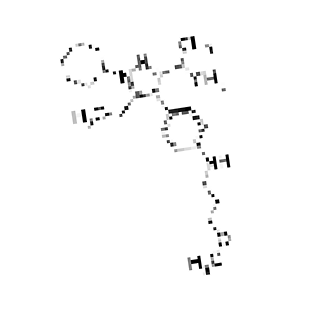 CCc1c(-c2ccc(NCCCOC)cc2)c(C(C)C)nn1C1CCCCC1